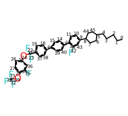 CCCCCC1CCC(c2ccc(-c3ccc(-c4ccc(C(F)(F)Oc5ccc(OC(F)(F)F)c(F)c5)cc4)cc3)c(F)c2)CC1